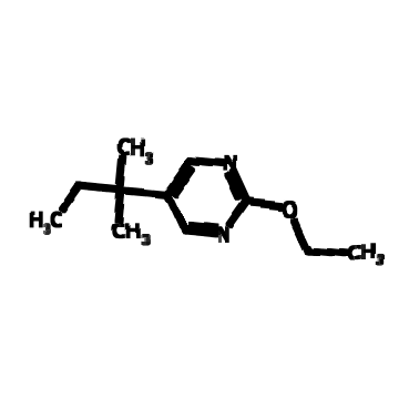 CCOc1ncc(C(C)(C)CC)cn1